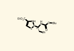 CCOC(=O)C1=CSN([C@@H](CC(C)C)NC(=O)OC(C)(C)C)N1